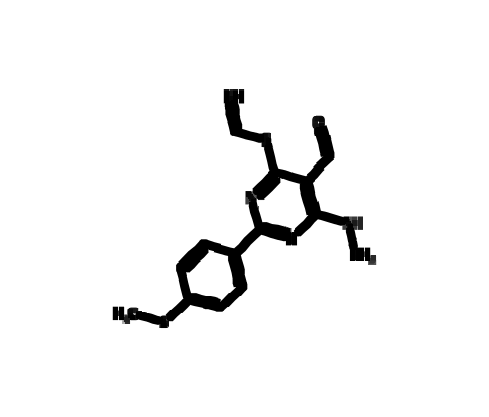 CSc1ccc(-c2nc(NN)c(C=O)c(SC=N)n2)cc1